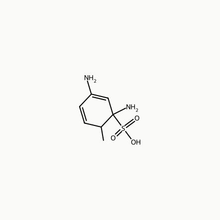 CC1C=CC(N)=CC1(N)S(=O)(=O)O